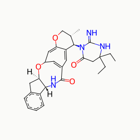 CCC1(CC)CC(=O)N([C@H]2C3=CC4=CC(C=C3OC[C@@H]2C)O[C@@H]2Cc3ccccc3[C@H]2NC4=O)C(=N)N1